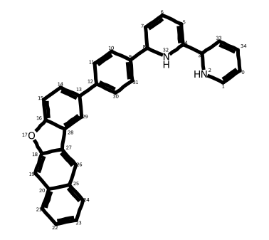 C1=CNC(C2=CC=CC(c3ccc(-c4ccc5oc6cc7ccccc7cc6c5c4)cc3)N2)C=C1